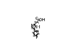 O=C(O)CSc1nnc(-c2ccc(F)cn2)[nH]1